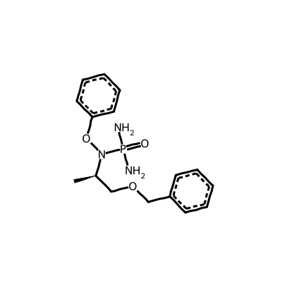 C[C@H](COCc1ccccc1)N(Oc1ccccc1)P(N)(N)=O